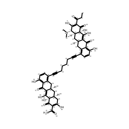 CCC(=O)C1=C(O)[C@@H](N(C)C)[C@@H]2C[C@@H]3Cc4c(C#CCCCCC#Cc5ccc(O)c6c5C[C@H]5C[C@H]7CC(O)=C(C(N)=O)C(=O)[C@@]7(O)C(O)=C5C6=O)ccc(O)c4C(=O)C3=C(O)[C@]2(O)C1=O